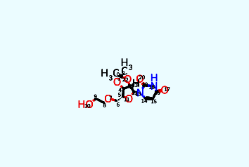 CC1(C)OC2[C@@H](COCCO)O[C@@H](n3ccc(=O)[nH]c3=O)[C@H]2O1